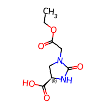 CCOC(=O)CN1C[C@H](C(=O)O)NC1=O